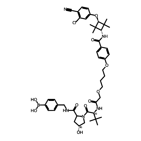 CC(C)(C)[C@H](NC(=O)COCCCCOc1ccc(C(=O)N[C@H]2C(C)(C)[C@H](Oc3ccc(C#N)c(Cl)c3)C2(C)C)cc1)C(=O)N1C[C@H](O)CC1C(=O)NCc1ccc(B(O)O)cc1